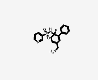 NCC1=CCC(F)(NS(=O)(=O)c2cccnc2)C(c2ccccc2)=C1